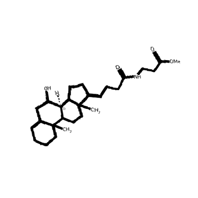 COC(=O)CCNC(=O)CCCC1CCC2[C@@H]3C(O)CC4CCCCC4(C)C3CCC12C